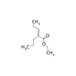 CC/C=C(\CCC)C(=O)OCC